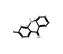 Cc1ccc2c(=O)c3ccccc3[se]c2c1